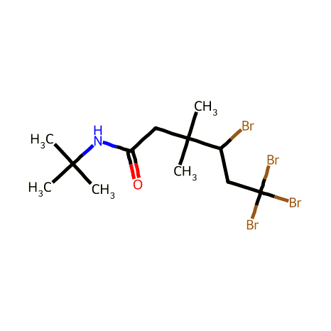 CC(C)(C)NC(=O)CC(C)(C)C(Br)CC(Br)(Br)Br